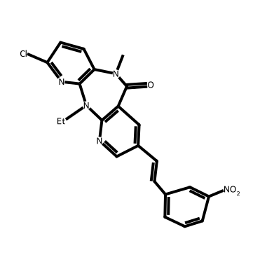 CCN1c2ncc(/C=C/c3cccc([N+](=O)[O-])c3)cc2C(=O)N(C)c2ccc(Cl)nc21